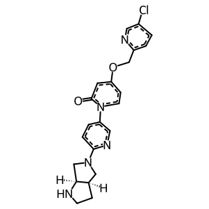 O=c1cc(OCc2ccc(Cl)cn2)ccn1-c1ccc(N2C[C@H]3CCN[C@H]3C2)nc1